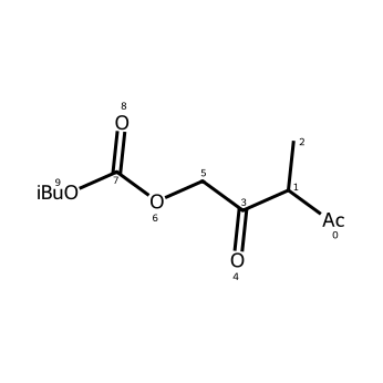 CC(=O)C(C)C(=O)COC(=O)OCC(C)C